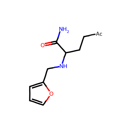 CC(=O)CCC(NCc1ccco1)C(N)=O